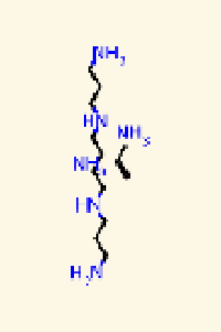 C=CC.N.N.NCCCNCCCCNCCCN